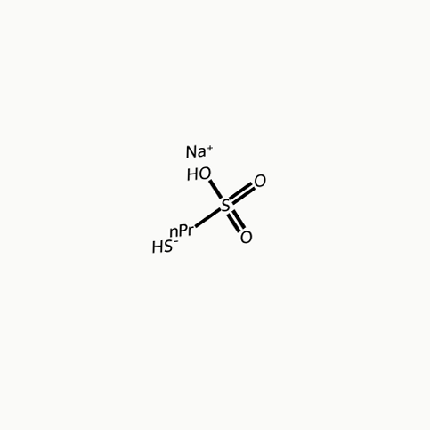 CCCS(=O)(=O)O.[Na+].[SH-]